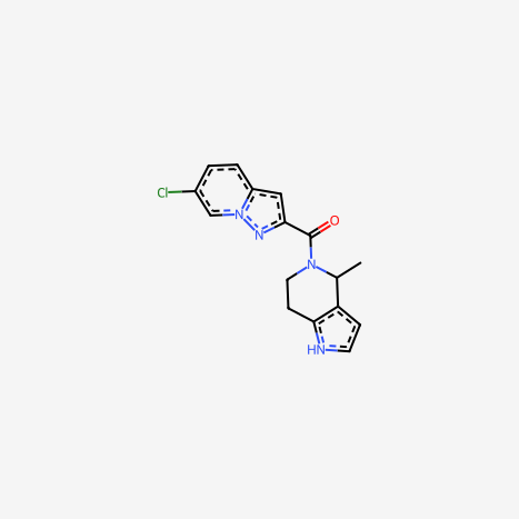 CC1c2cc[nH]c2CCN1C(=O)c1cc2ccc(Cl)cn2n1